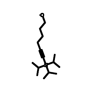 CC(C)[Si](C#CCCCC[O])(C(C)C)C(C)C